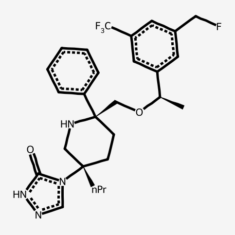 CCC[C@]1(n2cn[nH]c2=O)CC[C@@](CO[C@H](C)c2cc(CF)cc(C(F)(F)F)c2)(c2ccccc2)NC1